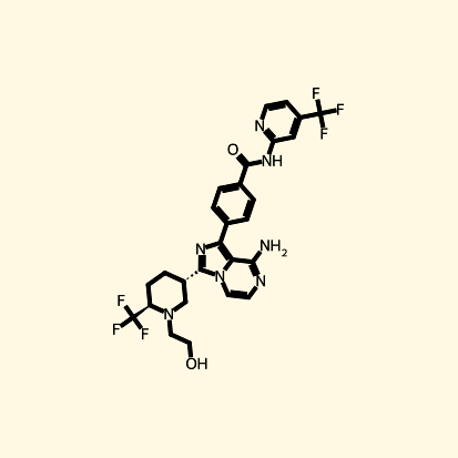 Nc1nccn2c([C@H]3CC[C@H](C(F)(F)F)N(CCO)C3)nc(-c3ccc(C(=O)Nc4cc(C(F)(F)F)ccn4)cc3)c12